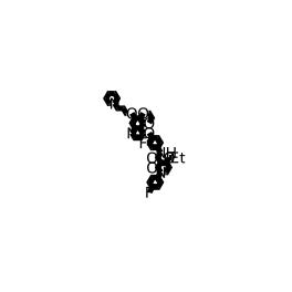 CCOc1ccn(-c2ccc(F)cc2)c(=O)c1C(=O)Nc1ccc(Oc2ccnc3cc(OCCCN4CCCCC4)c4c(c23)OCCO4)c(F)c1